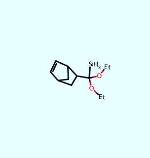 CCOC([SiH3])(OCC)C1CC2C=CC1C2